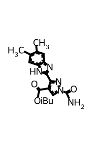 Cc1cc2nc(-c3nn(C(N)=O)cc3C(=O)OCC(C)C)[nH]c2cc1C